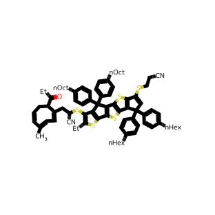 CCCCCCCCc1ccc(C2(c3ccc(CCCCCCCC)cc3)c3c(sc(CC)c3SC(C#N)C/C3=C/C=C(C)/C=C\CC3C(=O)CC)-c3sc4c5c(sc4c32)C(SCCC#N)=CC5(c2ccc(CCCCCC)cc2)c2ccc(CCCCCC)cc2)cc1